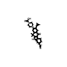 CC1(C)c2cc(N3CCN(C(=O)O)CC3)c(C3CC3)cc2C(=O)c2c1[nH]c1cc(C#N)ccc21